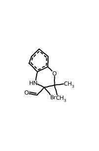 CC1(C)Oc2ccccc2NC1(Br)C=O